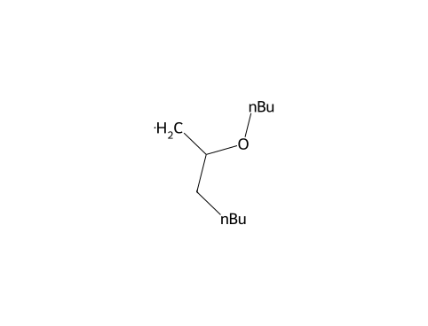 [CH2]C(CCCCC)OCCCC